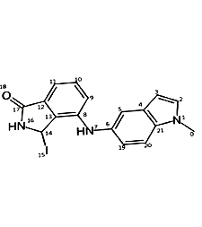 Cn1ccc2cc(Nc3cccc4c3C(I)NC4=O)ccc21